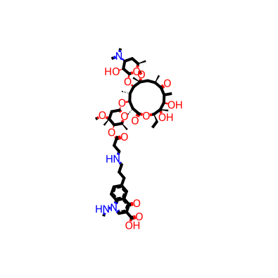 CC[C@H]1OC(=O)[C@H](C)[C@@H](O[C@H]2C[C@@](C)(OC)[C@@H](OC(=O)CCNCCCc3ccc4c(c3)c(=O)c(C(=O)O)cn4NC)[C@H](C)O2)[C@H](C)[C@@H](O[C@@H]2O[C@H](C)C[C@H](N(C)C)[C@H]2O)[C@](C)(OC)C[C@@H](C)C(=O)C(C)[C@@H](O)[C@]1(C)O